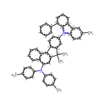 Cc1ccc(N(c2ccc(C)cc2)c2cc3c(c4ccccc24)-c2ccc(-n4c5ccc(C)cc5c5cccc(-c6ccccc6)c54)cc2C3(C)C)cc1